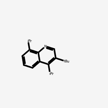 CC(C)c1c(C(C)(C)C)cnc2c(C(C)C)cccc12